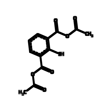 CC(=O)OC(=O)c1cccc(C(=O)OC(C)=O)c1S